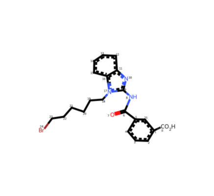 O=C(O)c1cccc(C(=O)Nc2nc3ccccc3n2CCCCCCBr)c1